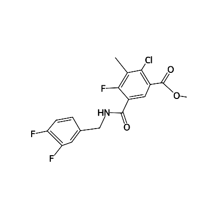 COC(=O)c1cc(C(=O)NCc2ccc(F)c(F)c2)c(F)c(C)c1Cl